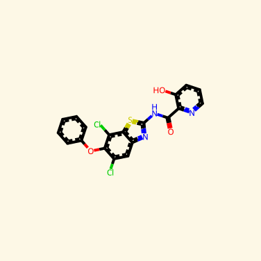 O=C(Nc1nc2cc(Cl)c(Oc3ccccc3)c(Cl)c2s1)c1ncccc1O